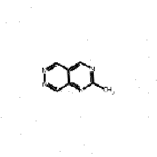 Cc1ncc2cnncc2n1